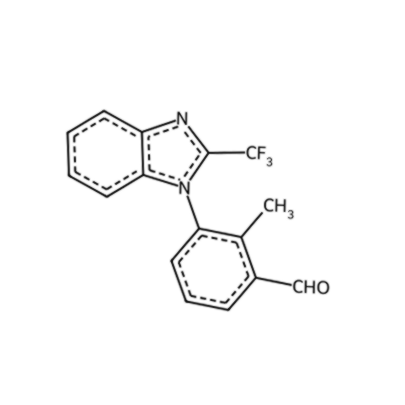 Cc1c(C=O)cccc1-n1c(C(F)(F)F)nc2ccccc21